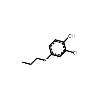 CCCSc1ccc(O)c(Cl)c1